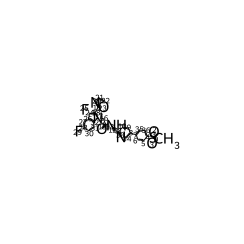 CS(=O)(=O)c1ccc(-c2ccc(CNC(=O)Cn3c(-c4ncco4)c(F)c4cc(F)ccc43)nc2)cc1